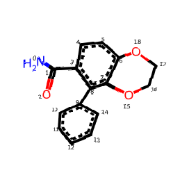 NC(=O)c1ccc2c(c1-c1ccccc1)OCCO2